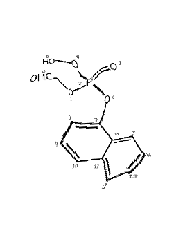 O=COP(=O)(OO)Oc1cccc2ccccc12